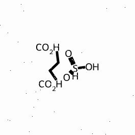 O=C(O)CCC(=O)O.O=[SH](=O)O